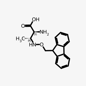 C[C@@H](NOCC1c2ccccc2-c2ccccc21)[C@H](N)C(=O)O